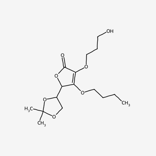 CCCCOC1=C(OCCCO)C(=O)OC1C1COC(C)(C)O1